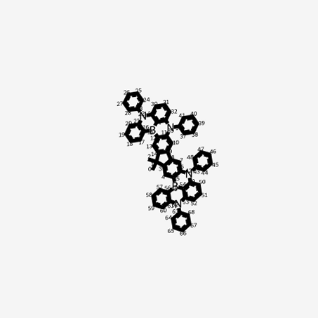 CC1(C)c2cc3c(cc2-c2cc4c(cc21)B1c2ccccc2N(c2ccccc2)c2cccc(c21)N4c1ccccc1)N(c1ccccc1)c1cccc2c1B3c1ccccc1N2c1ccccc1